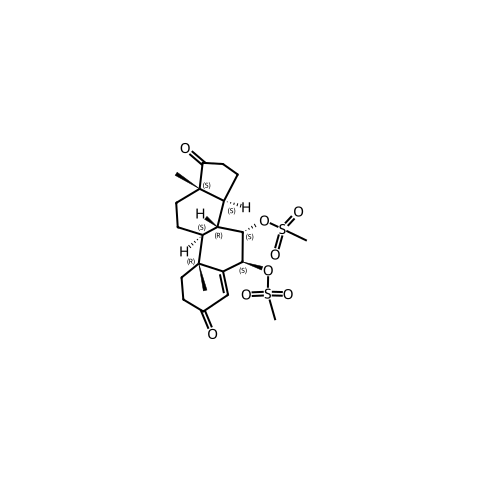 C[C@]12CCC(=O)C=C1[C@H](OS(C)(=O)=O)[C@@H](OS(C)(=O)=O)[C@@H]1[C@@H]2CC[C@]2(C)C(=O)CC[C@@H]12